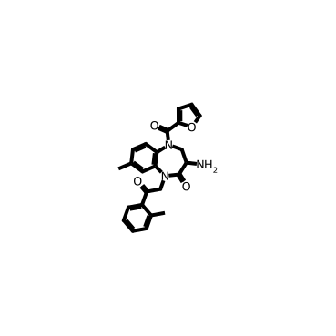 Cc1ccc2c(c1)N(CC(=O)c1ccccc1C)C(=O)C(N)CN2C(=O)c1ccco1